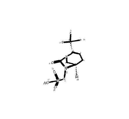 O=C1N2C[C@@H](CC[C@H]2C(F)(F)F)N1OS(=O)(=O)O